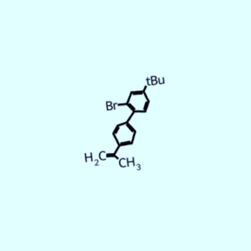 C=C(C)c1ccc(-c2ccc(C(C)(C)C)cc2Br)cc1